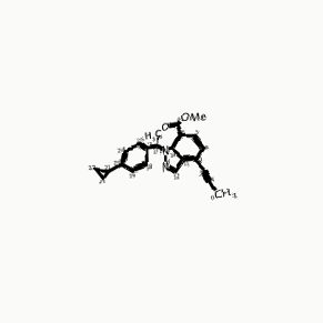 CC#Cc1ccc(C(=O)OC)c2c1cnn2[C@H](C)c1ccc(C2CC2)cc1